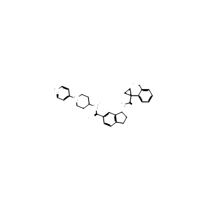 CN(C(=O)c1ccc2c(c1)[C@H](NC(=O)C1(c3ccccc3Cl)CC1)CC2)C1CCN(c2ccncc2)CC1